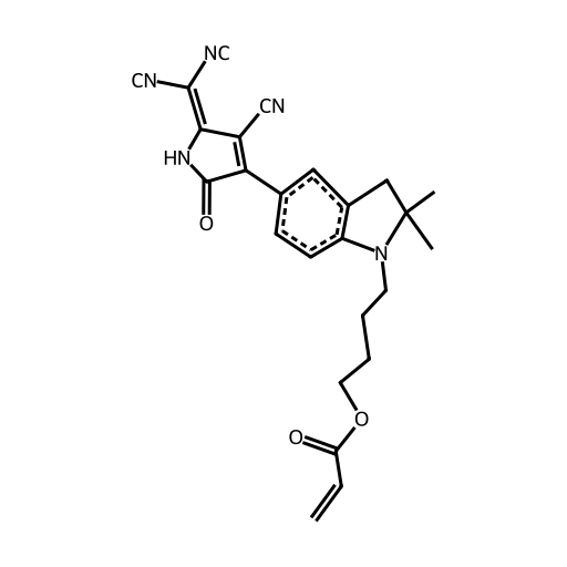 [C-]#[N+]C([N+]#[C-])=C1NC(=O)C(c2ccc3c(c2)CC(C)(C)N3CCCCOC(=O)C=C)=C1C#N